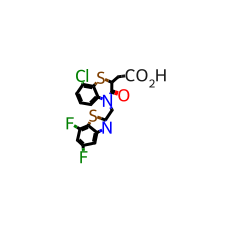 O=C(O)CC1Sc2c(Cl)cccc2N(Cc2nc3cc(F)cc(F)c3s2)C1=O